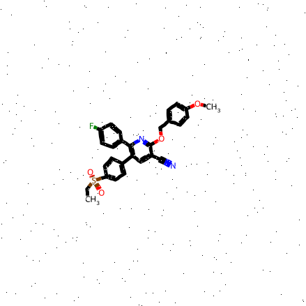 CCS(=O)(=O)c1ccc(-c2cc(C#N)c(OCc3ccc(OC)cc3)nc2-c2ccc(F)cc2)cc1